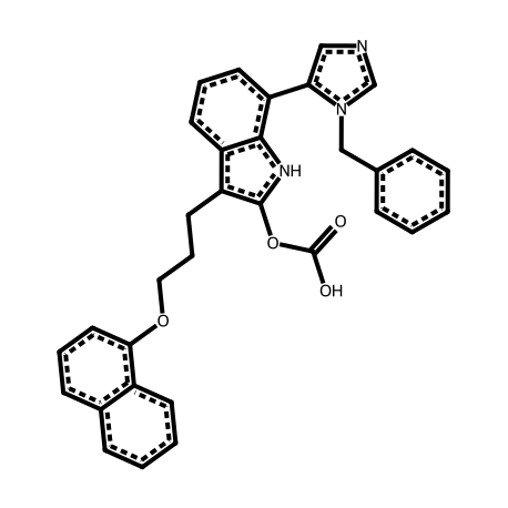 O=C(O)Oc1[nH]c2c(-c3cncn3Cc3ccccc3)cccc2c1CCCOc1cccc2ccccc12